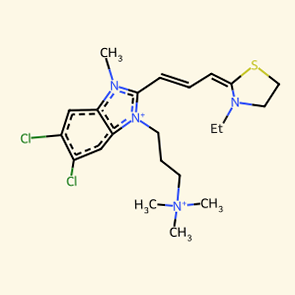 CCN1CCSC1=CC=Cc1n(C)c2cc(Cl)c(Cl)cc2[n+]1CCC[N+](C)(C)C